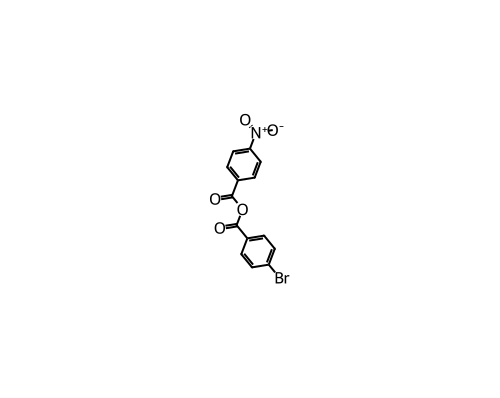 O=C(OC(=O)c1ccc([N+](=O)[O-])cc1)c1ccc(Br)cc1